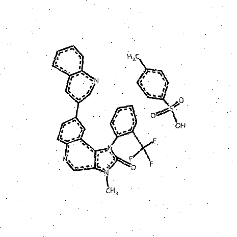 Cc1ccc(S(=O)(=O)O)cc1.Cn1c(=O)n(-c2ccccc2C(F)(F)F)c2c3cc(-c4cnc5ccccc5c4)ccc3ncc21